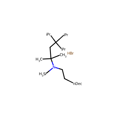 Br.CCCCCCCCCCCCN([SiH3])C(C)(C)CC(C(C)C)(C(C)C)C(C)C